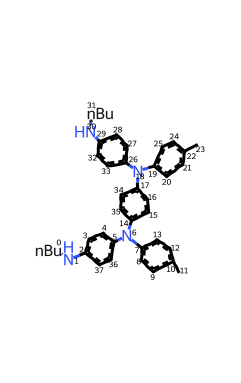 CCCCNc1ccc(N(c2ccc(C)cc2)c2ccc(N(c3ccc(C)cc3)c3ccc(NCCCC)cc3)cc2)cc1